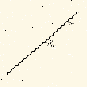 CCCCCCCCCCCCCCCCCCOCC(CCCCCCCCC=CC[C@H](O)CCCCCC)OC(=O)O